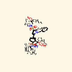 Cc1c(S(=O)(=O)NCC(C)(C)O)cc(-c2ccc(S(=O)(=O)NC(C)(C)C)c(C(C)(C)O)c2)n1CC1CCCCC1